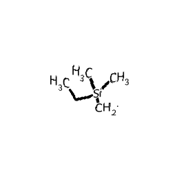 [CH2][Si](C)(C)CC